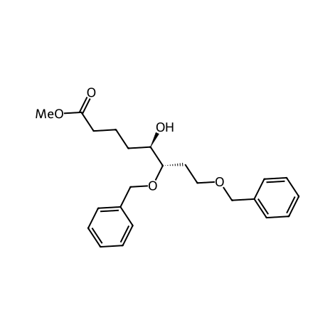 COC(=O)CCC[C@@H](O)[C@H](CCOCc1ccccc1)OCc1ccccc1